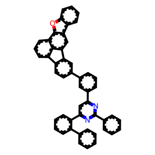 c1ccc(-c2nc(-c3cccc(-c4ccc5c(c4)-c4cc6c7ccccc7oc6c6cccc-5c46)c3)cc(-c3ccccc3-c3ccccc3)n2)cc1